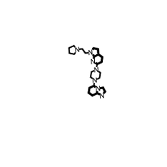 c1cc(N2CCN(c3ccc4ccn(CCN5CCCC5)c4n3)CC2)n2ccnc2c1